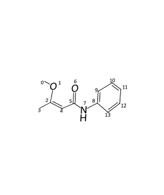 CO/C(C)=C\C(=O)Nc1ccccc1